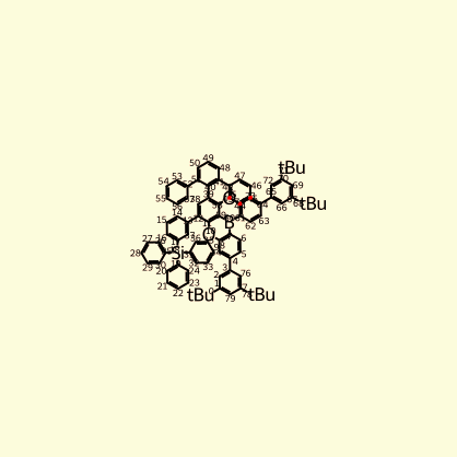 CC(C)(C)c1cc(-c2ccc3c(c2)Oc2c(-c4cccc([Si](c5ccccc5)(c5ccccc5)c5ccccc5)c4)cc(-c4c(-c5ccccc5)cccc4-c4ccccc4)c4c2B3c2ccc(-c3cc(C(C)(C)C)cc(C(C)(C)C)c3)cc2O4)cc(C(C)(C)C)c1